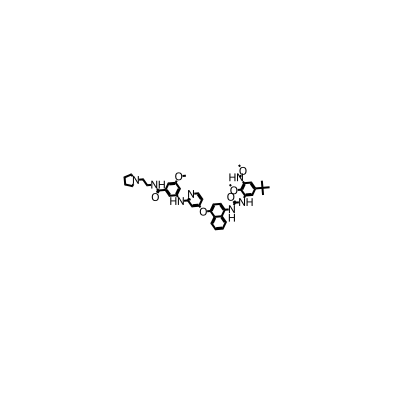 CONc1cc(C(C)(C)C)cc(NC(=O)Nc2ccc(Oc3ccnc(Nc4cc(OC)cc(C(=O)NCCN5CCCC5)c4)c3)c3ccccc23)c1OC